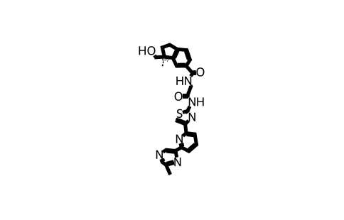 Cc1cncc(-c2cccc(-c3csc(NC(=O)CNC(=O)c4ccc5c(c4)[C@@](C)(CO)CC5)n3)n2)n1